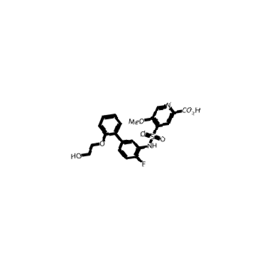 COc1cnc(C(=O)O)cc1S(=O)(=O)Nc1cc(-c2ccccc2OCCO)ccc1F